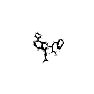 O=C(NO)C(Cc1ccccc1)n1nc2c(-c3cncnc3)nccc2c1C#CC1CC1